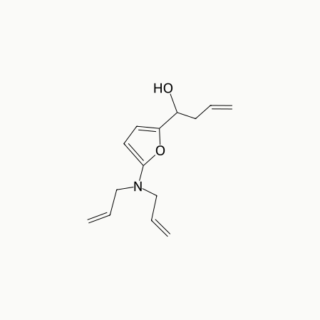 C=CCC(O)c1ccc(N(CC=C)CC=C)o1